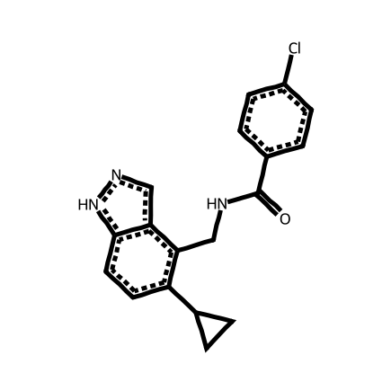 O=C(NCc1c(C2CC2)ccc2[nH]ncc12)c1ccc(Cl)cc1